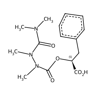 CN(C)C(=O)N(C)N(C)C(=O)O[C@@H](Cc1ccccc1)C(=O)O